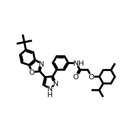 CC1CCC(C(C)C)C(OCC(=O)Nc2cccc(-c3n[nH]cc3-c3nc4cc(C(C)(C)C)ccc4o3)c2)C1